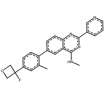 CNc1nc(-c2cccnc2)nc2ccc(-c3ccc(C4(F)COC4)cc3C)cc12